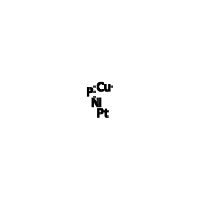 [Cu].[Ni].[P].[Pt]